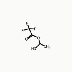 CC(S)OC(=O)C(F)(F)F